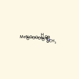 CNC(=O)CCOCCOCCOCCOCCNC(=O)CCC(=O)N1Cc2ccccc2/C(C)=C\c2ccccc21